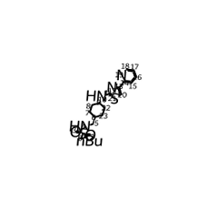 CCCCS(=O)(=O)NC[C@H]1CC[C@H](Nc2nc(-c3ccccn3)cs2)CC1